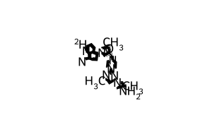 [2H]c1ccc2c(N3C[C@H](CN4CCN(c5nc(C)cc(N6CC(C)(N)C6)n5)CC4)O[C@H](C)C3)ccc(C#N)c2n1